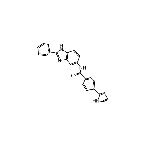 O=C(Nc1ccc2[nH]c(-c3ccccc3)nc2c1)c1ccc(-c2ccc[nH]2)cc1